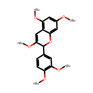 CCCCOC1=Cc2c(OCCCC)cc(OCCCC)cc2OC1c1ccc(OCCCC)c(OCCCC)c1